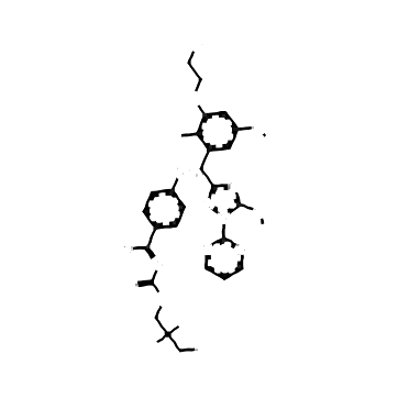 [CH2]Oc1nc([C@H](Nc2ccc(/C(N)=N/C(=O)OCC(C)(C)CC)cc2)c2cc(OC)cc(OCCO)c2F)nn1-c1ncccn1